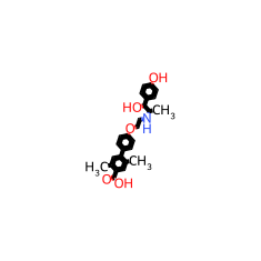 Cc1cc(-c2ccc(OCCNC(C)C(O)c3ccc(O)cc3)cc2)c(C)cc1C(=O)O